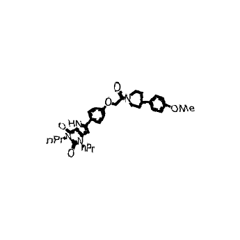 CCCn1c(=O)c2[nH]c(-c3ccc(OCC(=O)N4CCC(c5ccc(OC)cc5)CC4)cc3)cc2n(CCC)c1=O